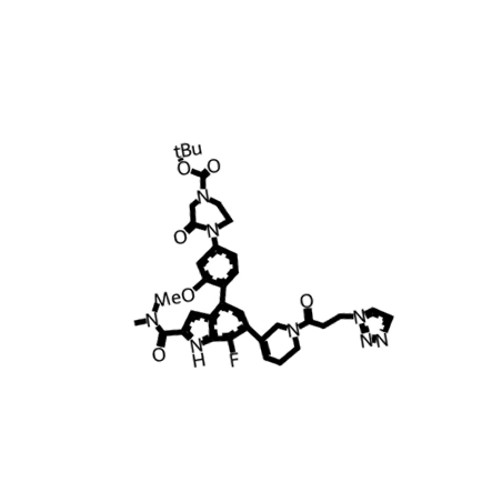 COc1cc(N2CCN(C(=O)OC(C)(C)C)CC2=O)ccc1-c1cc(C2=CCCN(C(=O)CCn3ccnn3)C2)c(F)c2[nH]c(C(=O)N(C)C)cc12